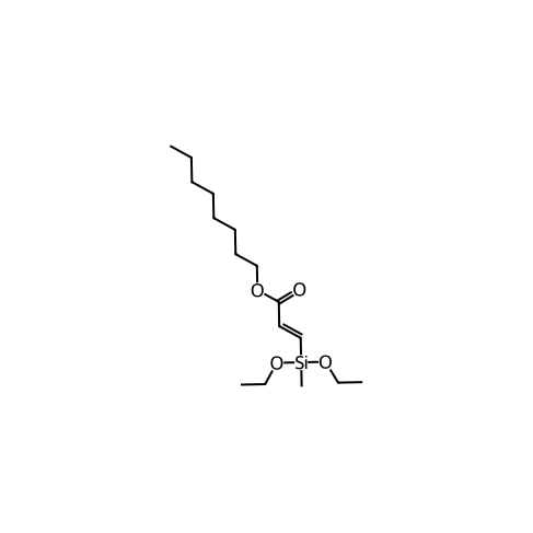 CCCCCCCCOC(=O)C=C[Si](C)(OCC)OCC